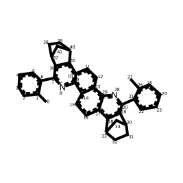 Cc1ccccc1-c1nc2c(ccc3c2ccc2c4c(c(-c5ccccc5C)nc23)C2CCC4C2)c2c1C1CCC2C1